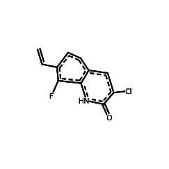 C=Cc1ccc2cc(Cl)c(=O)[nH]c2c1F